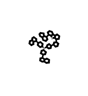 c1cc(-c2ccc(N(c3ccc(-c4cccc5ccccc45)cc3)c3ccc(-c4cccc5ccccc45)cc3)cc2)cc(-c2cccc3c2sc2c(-c4cccc5ccccc45)cccc23)c1